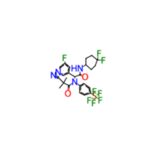 CC(C)(C#N)C(=O)N(c1ccc(S(F)(F)(F)(F)F)cc1)C(C(=O)NC1CCC(F)(F)CC1)c1cncc(F)c1